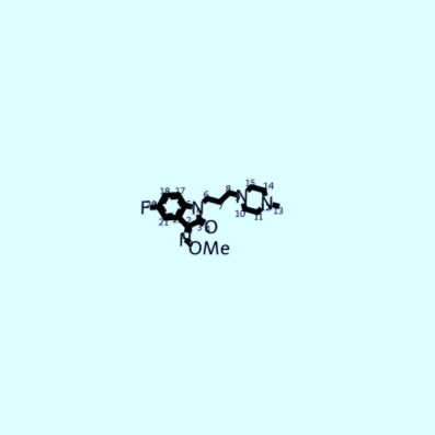 CO/N=C1\C(=O)N(CCCN2CCN(C)CC2)c2ccc(F)cc21